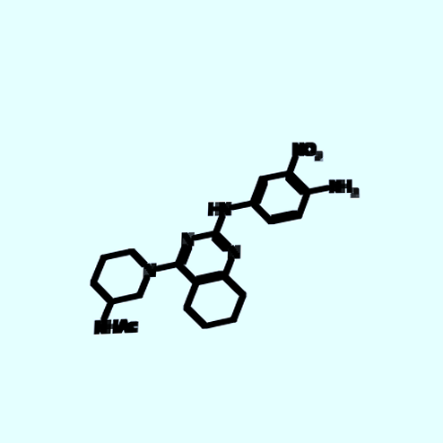 CC(=O)NC1CCCN(c2nc(Nc3ccc(N)c([N+](=O)[O-])c3)nc3c2CCCC3)C1